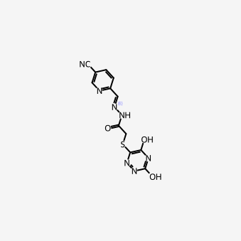 N#Cc1ccc(/C=N/NC(=O)CSc2nnc(O)nc2O)nc1